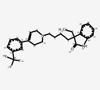 CCC1(CCCCN2CC=C(c3cccc(C(F)(F)F)c3)CC2)C(=O)Nc2ccccc21